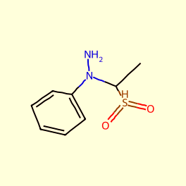 CC(N(N)c1ccccc1)[SH](=O)=O